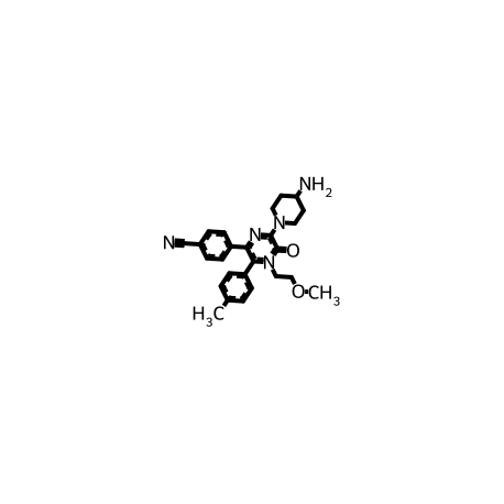 COCCn1c(-c2ccc(C)cc2)c(-c2ccc(C#N)cc2)nc(N2CCC(N)CC2)c1=O